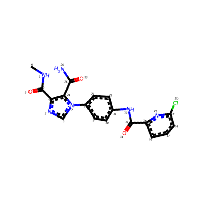 CNC(=O)c1ncn(-c2ccc(NC(=O)c3cccc(Cl)n3)cc2)c1C(N)=O